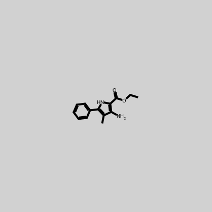 CCOC(=O)c1[nH]c(-c2ccccc2)c(C)c1N